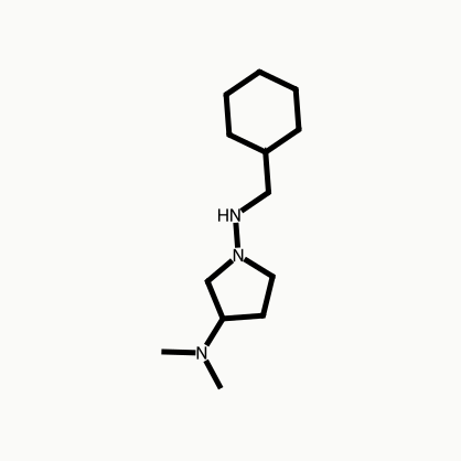 CN(C)C1CCN(NC[C]2CCCCC2)C1